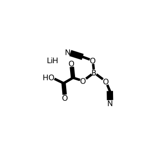 N#COB(OC#N)OC(=O)C(=O)O.[LiH]